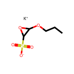 CCCOC1OC1S(=O)(=O)[O-].[K+]